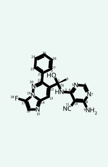 C[C@@](O)(Nc1ncnc(N)c1C#N)c1cc2ncc(F)n2nc1-c1ccccc1